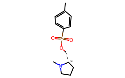 Cc1ccc(S(=O)(=O)OC[C@@H]2CCCN2C)cc1